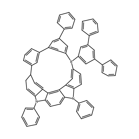 C1=c2c3n(-c4ccccc4)c4ccc5c(c6cc(ccc6n5-c5ccccc5)B(c5cc(-c6ccccc6)cc(-c6ccccc6)c5)c5cc(-c6ccccc6)cc(c5)-c5cccc(c5)C1CC=3)c24